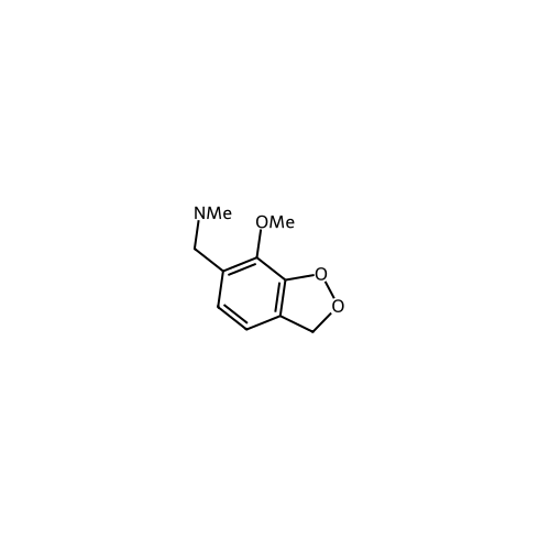 CNCc1ccc2c(c1OC)OOC2